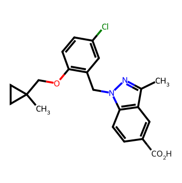 Cc1nn(Cc2cc(Cl)ccc2OCC2(C)CC2)c2ccc(C(=O)O)cc12